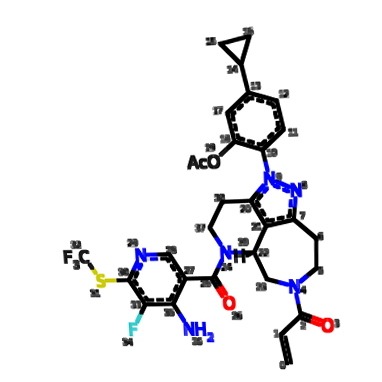 C=CC(=O)N1CCc2nn(-c3ccc(C4CC4)cc3OC(C)=O)c3c2[C@H](C1)N(C(=O)c1cnc(SC(F)(F)F)c(F)c1N)CC3